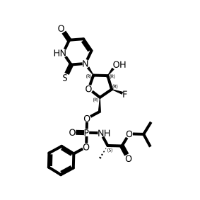 CC(C)OC(=O)[C@H](C)NP(=O)(OC[C@H]1O[C@@H](n2ccc(=O)[nH]c2=S)[C@@H](O)[C@H]1F)Oc1ccccc1